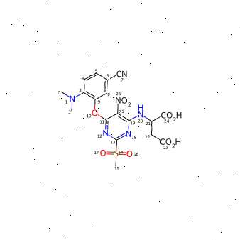 CN(C)c1ccc(C#N)cc1Oc1nc(S(C)(=O)=O)nc(NC(CC(=O)O)C(=O)O)c1[N+](=O)[O-]